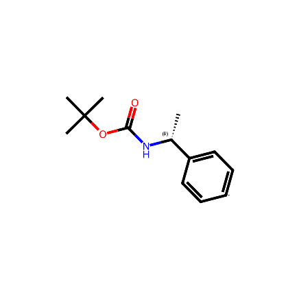 C[C@@H](NC(=O)OC(C)(C)C)c1cc[c]cc1